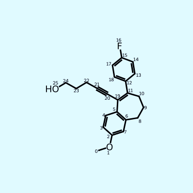 COc1ccc2c(c1)CCCC(c1ccc(F)cc1)=C2C#CCCCO